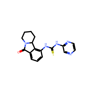 O=C1c2cccc(NC(=S)Nc3cnccn3)c2C2CCCCN12